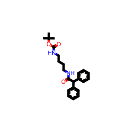 CC(C)(C)OC(=O)NCCCCNC(=O)C(c1ccccc1)c1ccccc1